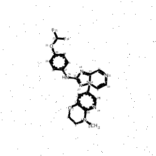 CN1CCOc2cc([N+]34C=CN=CC3=NC(Nc3ccc(OC(F)F)cc3)=N4)cnc21